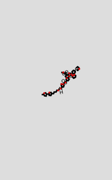 CCOC(=O)c1cc2cc(OC(=O)c3ccc(NCCCCCCc4ccc(C5CCC(C)CC5)cc4)cc3)ccc2c2c1C=CC(c1ccccc1)(c1ccc(N3CCCCC3)cc1)O2